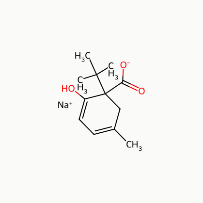 CC1=CC=C(O)C(C(=O)[O-])(C(C)(C)C)C1.[Na+]